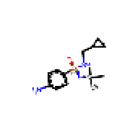 CC(C)(C)[Si](C)(C)N=[S@](=O)(NCC1CC1)c1ccc(N)cc1